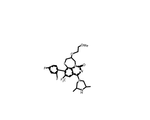 COCCOC1CSc2c(-c3ccc(F)cc3F)c(C(F)(F)F)cc3c(N4CC(C)NC(C)C4)nc(=O)n(c23)C1